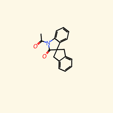 CC(=O)N1C(=O)C2(Cc3ccccc3C2)c2ccccc21